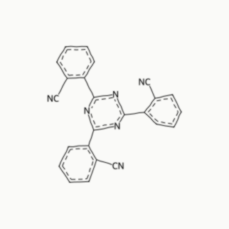 N#Cc1ccccc1-c1nc(-c2ccccc2C#N)nc(-c2ccccc2C#N)n1